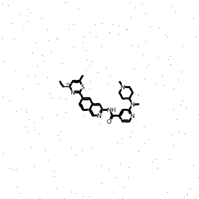 CC[C@H]1C=C(C)SC(c2ccc3cnc(NC(=O)c4ccnc(N(C)C5CCN(C)CC5)c4)cc3c2)=N1